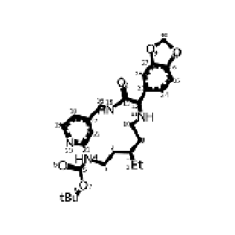 CCC(CCNC(=O)OC(C)(C)C)CCNC(C(=O)NCc1ccncc1)c1ccc2c(c1)OCO2